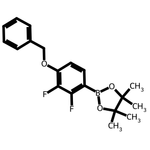 CC1(C)OB(c2ccc(OCc3ccccc3)c(F)c2F)OC1(C)C